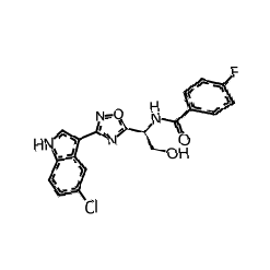 O=C(N[C@@H](CO)c1nc(-c2c[nH]c3ccc(Cl)cc23)no1)c1ccc(F)cc1